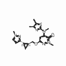 Cc1nc(N(C)c2cc(OC[C@H]3C[C@@H]3c3ccn(C)n3)nn(C)c2=O)sc1C